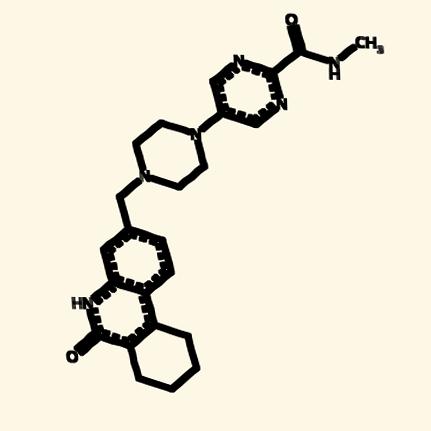 CNC(=O)c1ncc(N2CCN(Cc3ccc4c5c(c(=O)[nH]c4c3)CCCC5)CC2)cn1